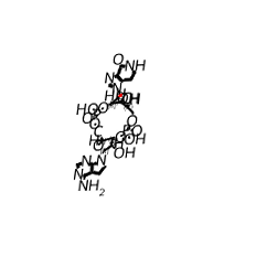 Nc1ncnc2c1ccn2[C@@H]1O[C@@H]2COP(=O)(O)O[C@@H]3[C@H](O)[C@@H](COP(=O)(O)O[C@H]2[C@H]1O)O[C@H]3n1cnc2c(=O)[nH]ccc21